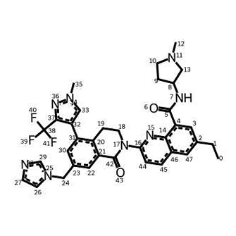 CCc1cc(C(=O)NC2CCN(C)C2)c2nc(N3CCc4c(cc(Cn5ccnc5)cc4-c4cn(C)nc4C(F)(F)F)C3=O)ccc2c1